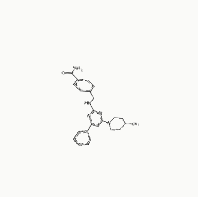 NC(=O)c1ccc(CNc2nc(-c3ccccc3)cc(N3CCC(O)CC3)n2)cc1